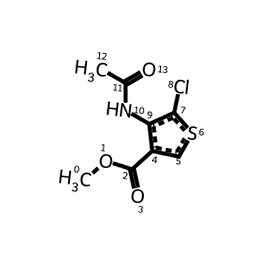 COC(=O)c1csc(Cl)c1NC(C)=O